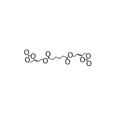 O=C(CCCCC(=O)OC/C=C1/COC(=O)O1)OCC=C1COC(=O)O1